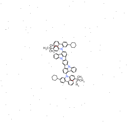 C[Si](C)(C)c1ccc(N(c2cc(C3CCCCC3)ccc2-c2ccccc2)c2ccc3c4cc5c(cc4n4c6ccccc6c2c34)c2ccc(N(c3ccc([Si](C)(C)C)cc3)c3cc(C4CCCCC4)ccc3-c3ccccc3)c3c4ccccc4n5c23)cc1